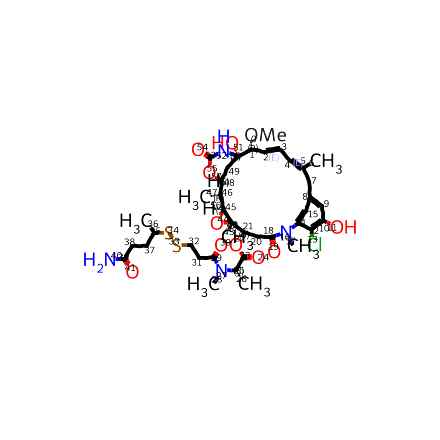 CO[C@@H]1/C=C/C=C(\C)Cc2cc(O)c(Cl)c(c2)N(C)C(=O)C[C@H](OC(=O)[C@H](C)N(C)C(=O)CCSSC(C)CCC(N)=O)[C@]2(C)O[C@H]2[C@H](C)[C@@H]2C[C@@]1(O)NC(=O)O2